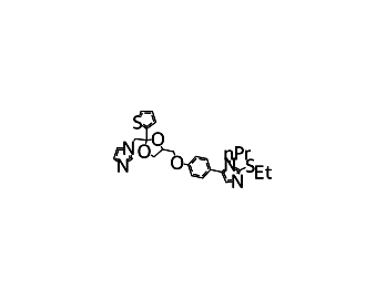 CCCn1c(-c2ccc(OCC3COC(Cn4ccnc4)(c4cccs4)O3)cc2)cnc1SCC